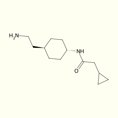 NCC[C@H]1CC[C@H](NC(=O)CC2CC2)CC1